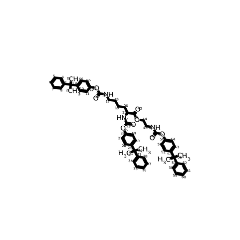 CC(C)(c1ccccc1)c1ccc(OC(=O)NCCCCC(NC(=O)Oc2ccc(C(C)(C)c3ccccc3)cc2)C(=O)OCCNC(=O)Oc2ccc(C(C)(C)c3ccccc3)cc2)cc1